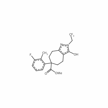 COC(=O)C1(c2cccc(F)c2C)CCc2nn(CC(F)(F)F)c(O)c2CC1